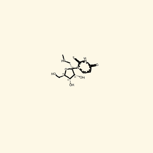 CNC[C@@]1(n2ccc(=O)[nH]c2=S)O[C@H](CO)[C@@H](O)[C@H]1O